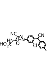 Cc1ccc(C(C#N)c2ccc(NN=C(C#N)C(=O)NC(=O)O)cc2Cl)cc1